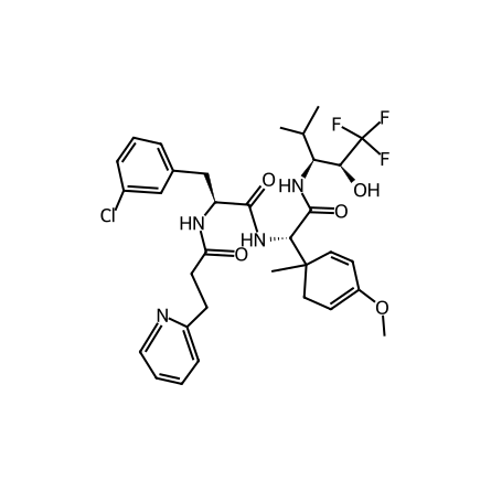 COC1=CCC(C)([C@H](NC(=O)[C@H](Cc2cccc(Cl)c2)NC(=O)CCc2ccccn2)C(=O)N[C@@H](C(C)C)[C@H](O)C(F)(F)F)C=C1